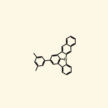 Cc1cc(C)cc(-c2cc3c4ccccc4n4c5cc6ccccc6cc5c(c2)c34)c1